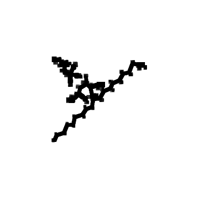 CCCCCCCCCCCCCCCCCC[SiH3].CN(CC(=O)O)C(=N)N.O=P([O-])([O-])[O-].[Na+].[Na+].[Na+]